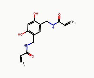 C=CC(=O)NCc1cc(CNC(=O)C=C)c(O)cc1O